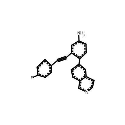 Nc1ccc(-c2ccc3cnccc3c2)c(C#Cc2ccc(F)cc2)c1